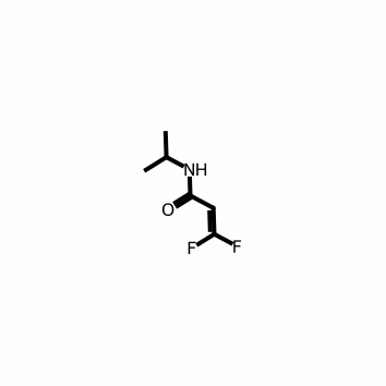 CC(C)NC(=O)C=C(F)F